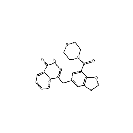 O=C(c1cc(Cc2n[nH]c(=O)c3ccccc23)cc2c1OCC2)N1CCSCC1